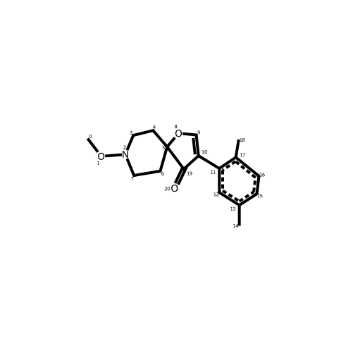 CON1CCC2(CC1)OC=C(c1cc(C)ccc1C)C2=O